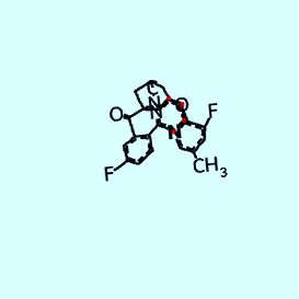 Cc1cnc(OC2CC3CCC2N(C(=O)c2cc(F)ccc2-c2ncccn2)C3)c(F)c1